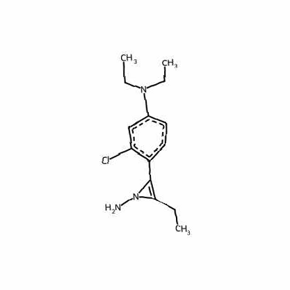 CCC1=C(c2ccc(N(CC)CC)cc2Cl)N1N